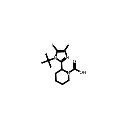 CC(C)(C)n1c(C2CCCCN2C(=O)O)nc(I)c1I